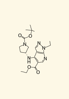 CCOC(=O)c1cnc2c(cnn2CC)c1N[C@@H]1CCN(C(=O)OC(C)(C)C)C1